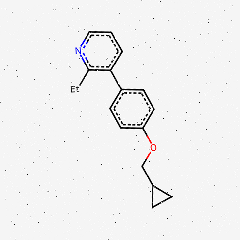 CCc1ncccc1-c1ccc(OCC2CC2)cc1